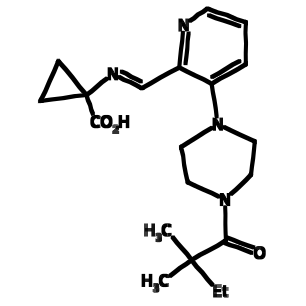 CCC(C)(C)C(=O)N1CCN(c2cccnc2C=NC2(C(=O)O)CC2)CC1